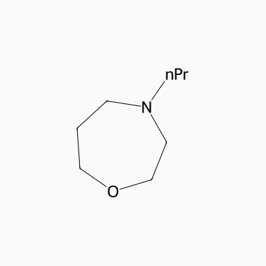 CCCN1CCCOCC1